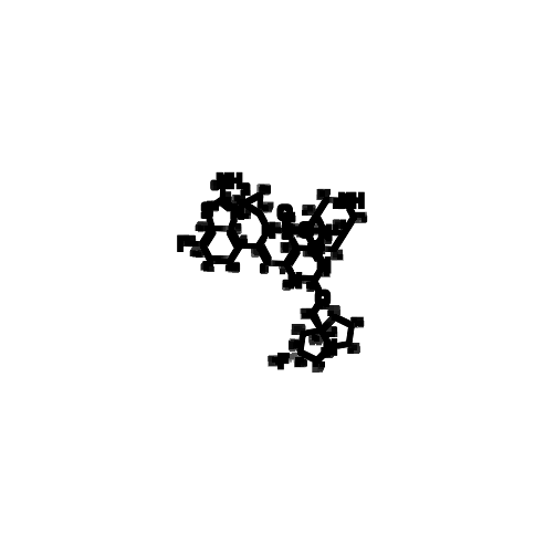 Nc1nc2c(C3=Cc4nc(OC[C@@]56CCCN5C[C@H](F)C6)nc(N5C6CNCC5COC6)c4S(=O)(=O)N3C3CC3)ccc(F)c2s1